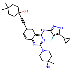 CC1(C)CCC(O)(C#Cc2ccc3nc(N4CCC(C)(N)CC4)nc(Nc4n[nH]c(C5CC5)c4F)c3c2)CC1